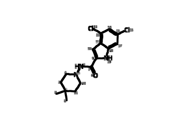 CC1(C)CCN(NC(=O)c2cc3c(Cl)cc(Cl)cc3[nH]2)CC1